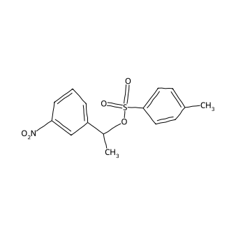 Cc1ccc(S(=O)(=O)OC(C)c2cccc([N+](=O)[O-])c2)cc1